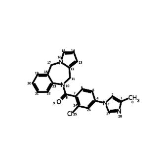 Cc1cn(-c2ccc(C(=O)N3Cc4cccn4Cc4ccccc43)c(Cl)c2)cn1